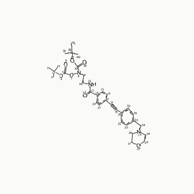 CC(C)(C)OC(=O)ON(CCNC(=O)c1ccc(C#Cc2ccc(CN3CCOCC3)cc2)cc1)C(=O)OC(C)(C)C